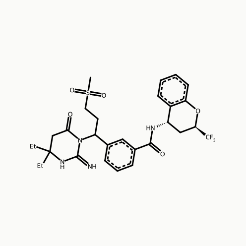 CCC1(CC)CC(=O)N(C(CCS(C)(=O)=O)c2cccc(C(=O)N[C@H]3C[C@H](C(F)(F)F)Oc4ccccc43)c2)C(=N)N1